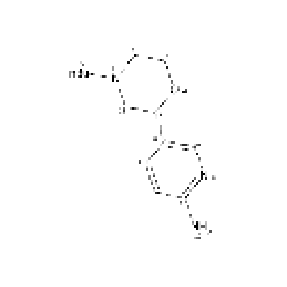 CCCCN1CCO[C@H](c2ccc(N)nc2)C1